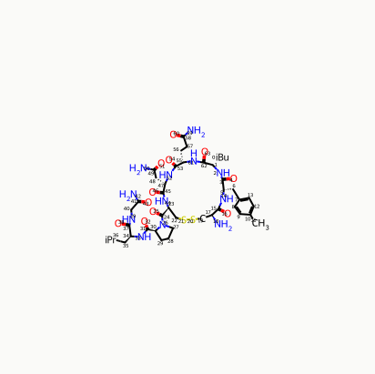 CC[C@H](C)C1NC(=O)[C@H](Cc2ccc(C)cc2)NC(=O)[C@@H](N)CSSC[C@@H](C(=O)N2CCC[C@H]2C(=O)N[C@@H](CC(C)C)C(=O)NCC(N)=O)NC(=O)[C@H](CC(N)=O)NC(=O)[C@H](CCC(N)=O)NC1=O